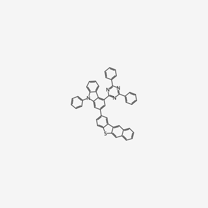 c1ccc(-c2nc(-c3ccccc3)nc(-c3cc(-c4ccc5sc6cc7ccccc7cc6c5c4)cc4c3c3ccccc3n4-c3ccccc3)n2)cc1